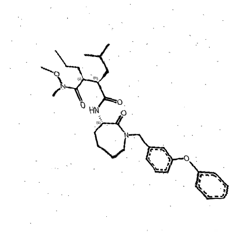 CCC[C@H](C(=O)N(C)OC)[C@@H](CC(C)C)C(=O)N[C@H]1CCCCN(Cc2cccc(Oc3ccccc3)c2)C1=O